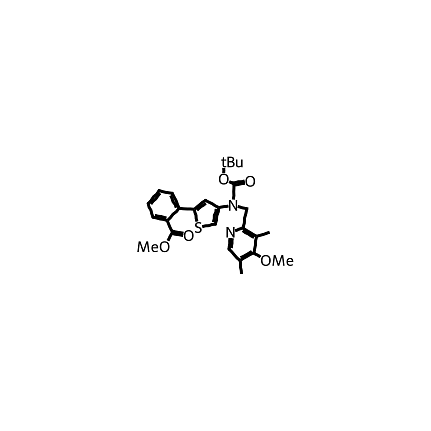 COC(=O)c1ccccc1-c1cc(N(Cc2ncc(C)c(OC)c2C)C(=O)OC(C)(C)C)cs1